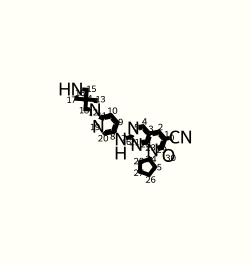 N#Cc1cc2cnc(Nc3ccc(N4CC5(CNC5)C4)nc3)nc2n(C2CCCC2)c1=O